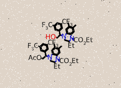 CCOC(=O)N1c2cc(C)c(C)cc2N(C(CO)c2cc(C(F)(F)F)cc(C(F)(F)F)c2)CC1CC.CCOC(=O)N1c2cc(C)c(C)cc2N(C(COC(C)=O)c2cc(C(F)(F)F)cc(C(F)(F)F)c2)CC1CC